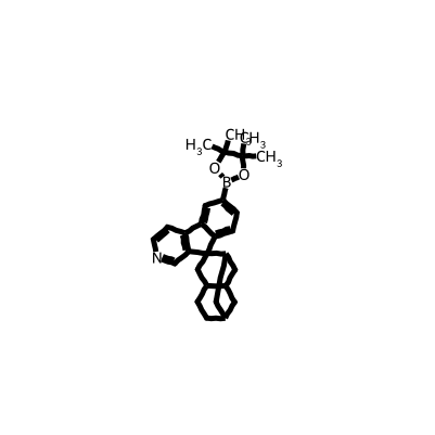 CC1(C)OB(c2ccc3c(c2)-c2ccncc2C32CC3CCC4CC3CC2C4)OC1(C)C